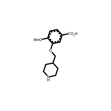 COc1ccc(C(=O)O)cc1OCC1CCNCC1